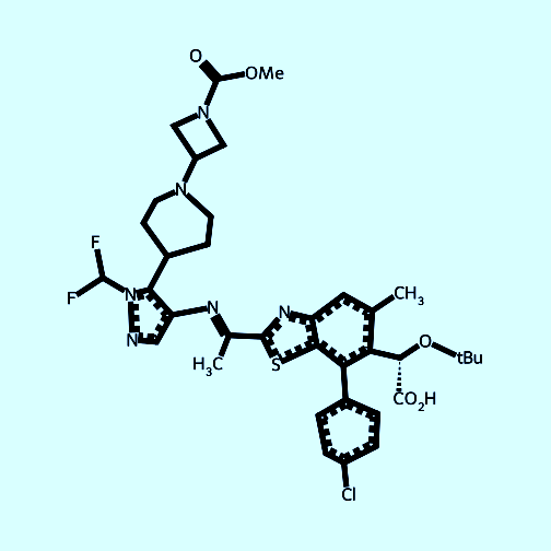 COC(=O)N1CC(N2CCC(c3c(/N=C(\C)c4nc5cc(C)c([C@H](OC(C)(C)C)C(=O)O)c(-c6ccc(Cl)cc6)c5s4)cnn3C(F)F)CC2)C1